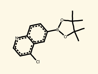 CC1(C)OB(c2ccc3nccc(Cl)c3c2)OC1(C)C